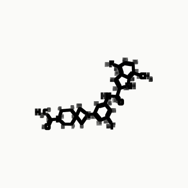 CC(=O)N1CCC2(CC1)CN(c1cc(F)cc(NC(=O)c3cc4c(F)ccc(C)c4[nH]3)c1)C2